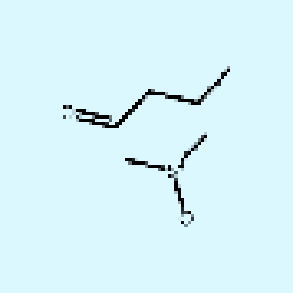 CCCC=O.C[S+](C)[O-]